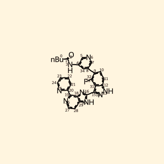 CCCCC(=O)Nc1cncc(-c2ccc3[nH]nc(-c4nc5c(-c6ccccn6)nccc5[nH]4)c3c2F)c1